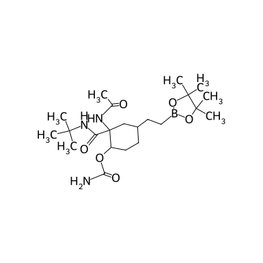 CC(=O)NC1(C(=O)NC(C)(C)C)CC(CCB2OC(C)(C)C(C)(C)O2)CCC1OC(N)=O